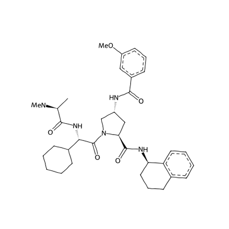 CN[C@@H](C)C(=O)N[C@H](C(=O)N1C[C@H](NC(=O)c2cccc(OC)c2)C[C@H]1C(=O)N[C@@H]1CCCc2ccccc21)C1CCCCC1